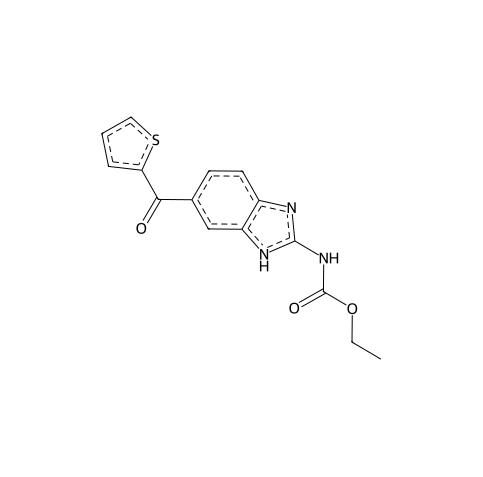 CCOC(=O)Nc1nc2ccc(C(=O)c3cccs3)cc2[nH]1